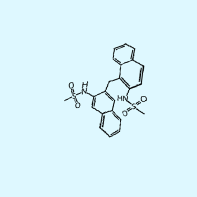 CS(=O)(=O)Nc1cc2ccccc2cc1Cc1c(NS(C)(=O)=O)ccc2ccccc12